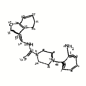 Nc1ccccc1N1CCN(C(=S)N/C=C2/COC3=C2CCC=C3)CC1